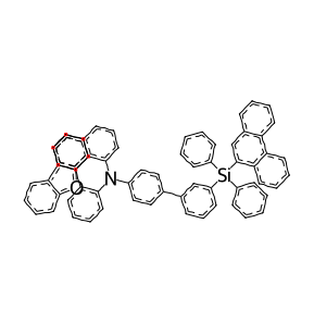 c1ccc(-c2ccccc2N(c2ccc(-c3cccc([Si](c4ccccc4)(c4ccccc4)c4cc5ccccc5c5ccccc45)c3)cc2)c2cccc3ccc4c5ccccc5oc4c23)cc1